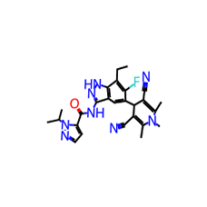 CCc1c(F)c(C2C(C#N)=C(C)N(C)C(C)=C2C#N)cc2c(NC(=O)c3ccnn3C(C)C)n[nH]c12